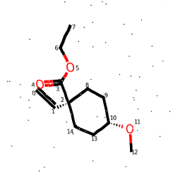 C=C[C@]1(C(=O)OCC)CC[C@H](OC)CC1